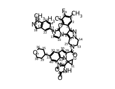 Cc1cc(-c2nn3c(c2-n2ccn(-c4ccc5c(cnn5C)c4)c2=O)CN(C(=O)c2cc4cc(C5CCOCC5)ccc4n2C2(c4noc(=O)[nH]4)CC2)CC3)cc(C)c1F